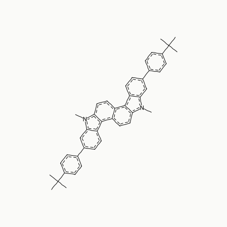 Cn1c2cc(-c3ccc(C(C)(C)C)cc3)ccc2c2c3ccc4c(c3ccc21)c1ccc(-c2ccc(C(C)(C)C)cc2)cc1n4C